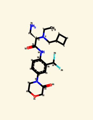 CCN(CC1CCC1)[C@@H](CN)C(=O)Nc1ccc(N2CCOCC2=O)cc1C(F)F